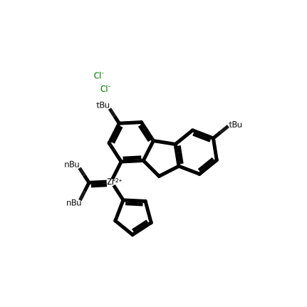 CCCC[C](CCCC)=[Zr+2]([C]1=CC=CC1)[c]1cc(C(C)(C)C)cc2c1Cc1ccc(C(C)(C)C)cc1-2.[Cl-].[Cl-]